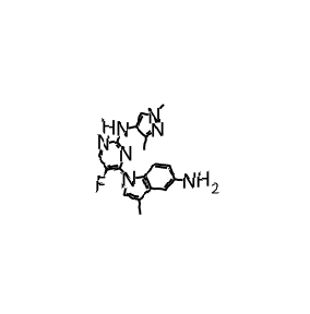 Cc1nn(C)cc1Nc1ncc(F)c(-n2cc(C)c3cc(N)ccc32)n1